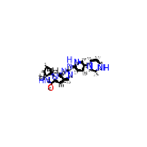 O=C1N[C@H]2CCC[C@@H]2n2c1cc1cnc(Nc3ccc(N4CCCNCC4)cn3)nc12